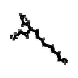 CCC=CC=CCCC=CC(OCC(F)(F)F)OCC(F)(F)F